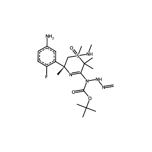 C=NNN(C(=O)OC(C)(C)C)C1=N[C@](C)(c2cc(N)ccc2F)CS(C)(=O)(NC)C1(C)C